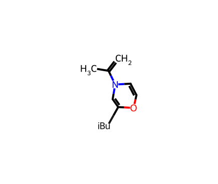 C=C(C)N1C=COC(C(C)CC)=C1